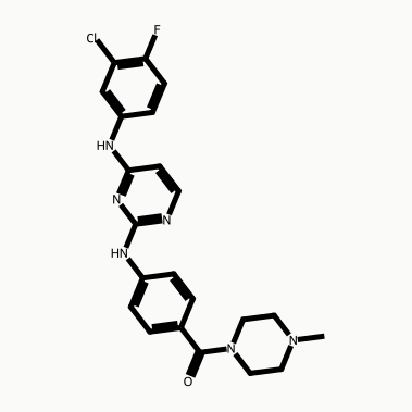 CN1CCN(C(=O)c2ccc(Nc3nccc(Nc4ccc(F)c(Cl)c4)n3)cc2)CC1